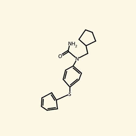 NC(=O)N(CC1CCCC1)c1ccc(Sc2ccccc2)cc1